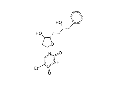 CCc1cn([C@@H]2CC(O)[C@H](CC[C@H](O)Cc3ccccc3)O2)c(=O)[nH]c1=O